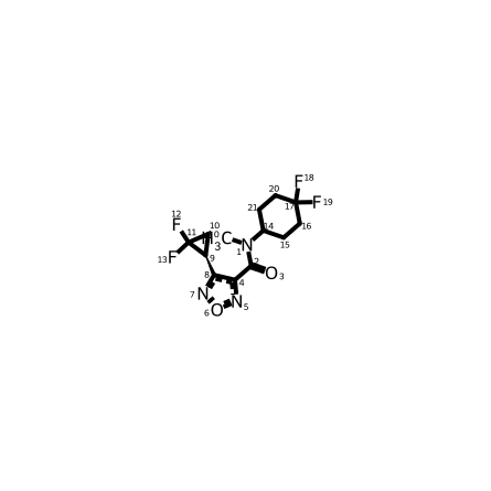 CN(C(=O)c1nonc1[C@@H]1CC1(F)F)C1CCC(F)(F)CC1